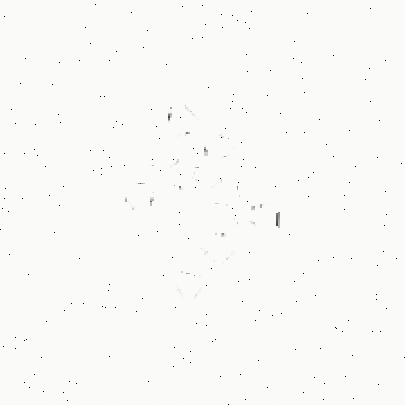 c1ccc(-c2ccc(-n3c4ccccc4c4cc(-c5ccc6sc7ccccc7c6c5)c(-c5ccc6sc7ccccc7c6c5)cc43)cc2)cc1